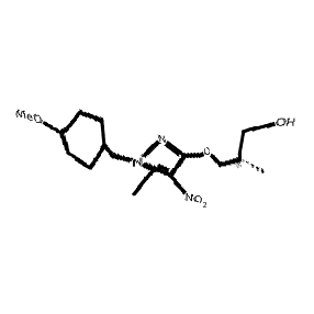 COC1CCC(n2nc(OC[C@@H](C)CO)c([N+](=O)[O-])c2C)CC1